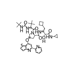 CC(C)(C)NC(=O)N[C@H](C(=O)N1C[C@H](Oc2cc(-c3ccccn3)nc3ccsc23)CC1C(=O)N[C@@H](CC1CCC1)C(O)C(=O)NC1CC1)C(C)(C)C